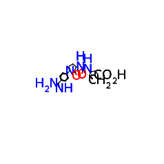 C=CC(CC(=O)O)NC(=O)N[C@H]1CCN(c2ccc(C(=N)N)cc2)C1=O